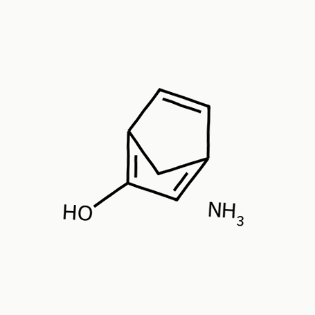 N.OC1=C2C=CC(=C1)C2